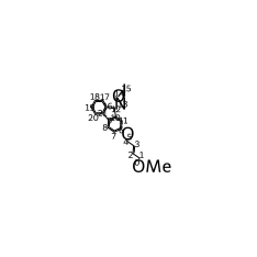 COC/C=C/COc1ccc2c(c1)/C(=N/OI)c1ccccc1-2